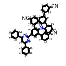 N#Cc1cccc(-c2ccc3c(c2)c2ccccc2n3-c2c(-c3cccc(C#N)c3)cc(-c3nc(-c4ccccc4)cc(-c4ccccc4)n3)cc2-c2cccc(C#N)c2)c1